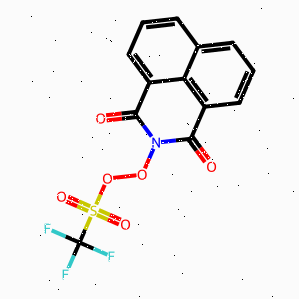 O=C1c2cccc3cccc(c23)C(=O)N1OOS(=O)(=O)C(F)(F)F